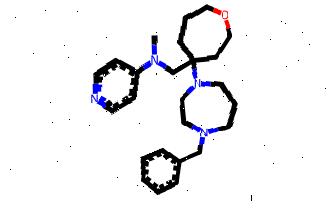 CN(CC1(N2CCCN(Cc3ccccc3)CC2)CCCOCC1)c1ccncc1